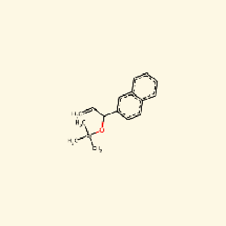 C=CC(O[Si](C)(C)C)c1ccc2ccccc2c1